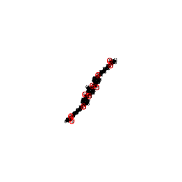 C=CC(=O)OCCCCCCOc1ccc(C(=O)Oc2ccc(OC(=O)c3ccc(OCCCCCCOC(=O)C=C)cc3)c(C)c2)cc1